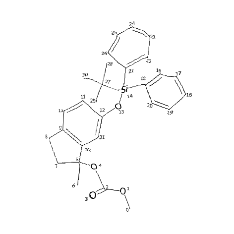 COC(=O)OC1(C)CCc2ccc(O[Si](c3ccccc3)(c3ccccc3)C(C)(C)C)cc21